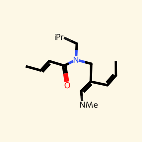 C/C=C\C(=C/NC)CN(CC(C)C)C(=O)/C=C/C